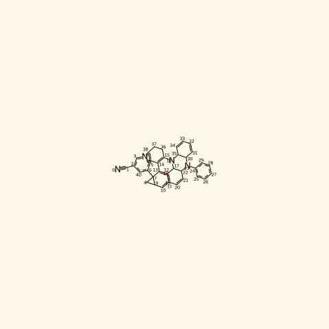 N#Cc1cncc(C23CC2C=CC=C3C2=C(N3C4C=CC=CC4N(c4ccccc4)C4C=CC=CC43)CCC=C2)c1